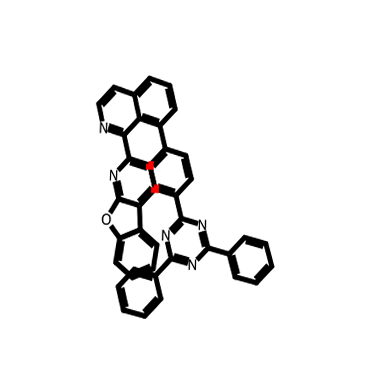 c1ccc(-c2nc(-c3ccccc3)nc(-c3ccc(-c4cccc5ccnc(-c6ccc7c(n6)oc6ccccc67)c45)cc3)n2)cc1